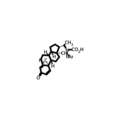 CC([C@H]1CC[C@H]2[C@@H]3CCC4=CC(=O)C=C[C@]4(C)[C@H]3CC[C@]12C)N(C(=O)O)C(C)(C)C